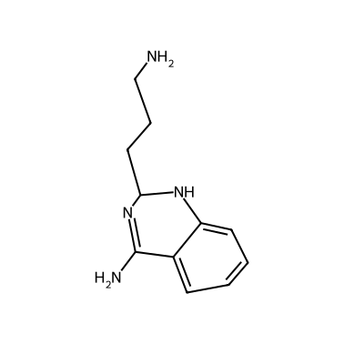 NCCCC1N=C(N)c2ccccc2N1